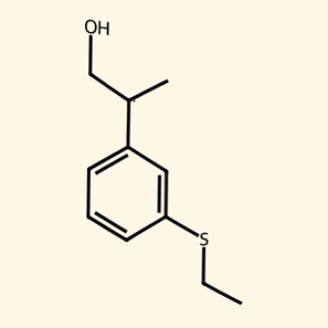 CCSc1cccc([C](C)CO)c1